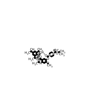 COc1cc2nc(C)nc(OS(=O)(=O)c3c(C(C)C)cc(C(C)C)cc3C(C)C)c2cc1OC(=O)N1CCN(C(=O)OC(C)(C)C)CC1